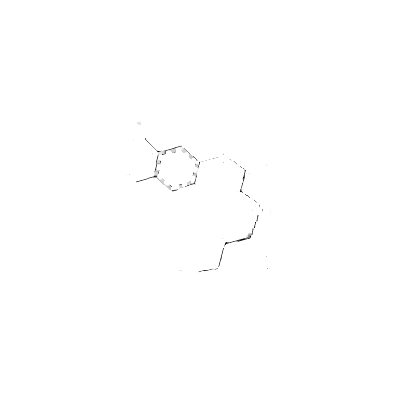 C[C@H](CN[C@@H](CCC(=O)O)C(=O)O)Nc1ccc(C(F)(F)F)c(C(F)(F)F)c1